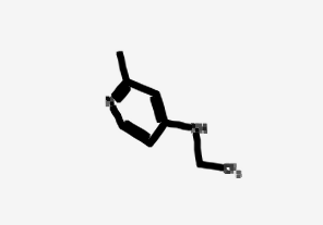 Cc1cc(NCC(F)(F)F)ccn1